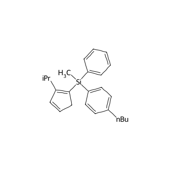 CCCCc1ccc([Si](C)(C2=C(C(C)C)C=CC2)c2ccccc2)cc1